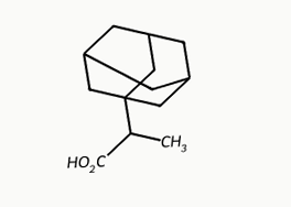 CC(C(=O)O)C12CC3CC(CC(C3)C1)C2